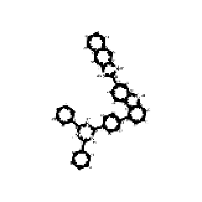 c1ccc(-c2nc(-c3ccccc3)nc(-c3ccc(-c4cccc5oc6cc(-c7nc8cc9ccccc9cc8s7)ccc6c45)cc3)n2)cc1